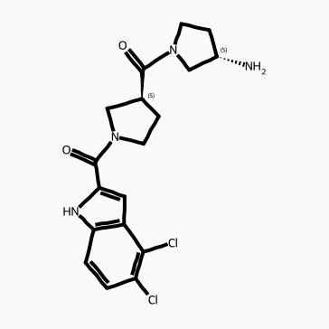 N[C@H]1CCN(C(=O)[C@H]2CCN(C(=O)c3cc4c(Cl)c(Cl)ccc4[nH]3)C2)C1